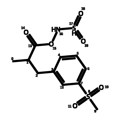 CC(Cc1cccc(S(C)(=O)=O)c1)C(=O)ON[SH](=O)=O